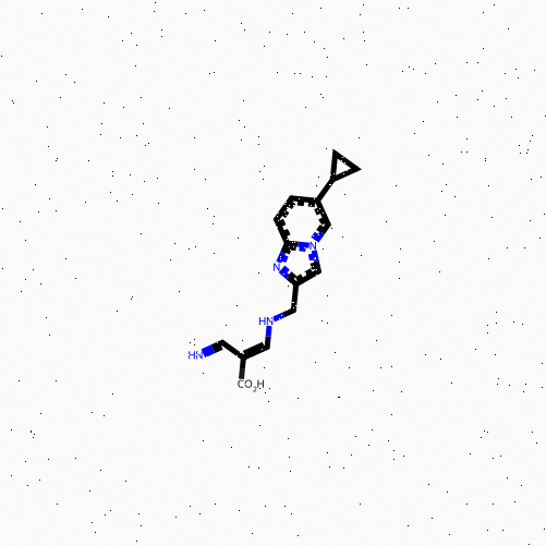 N=C/C(=C\NCc1cn2cc(C3CC3)ccc2n1)C(=O)O